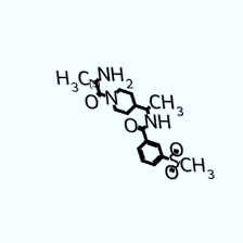 CC(NC(=O)c1cccc(S(C)(=O)=O)c1)C1CCN(C(=O)[C@H](C)N)CC1